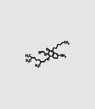 CCCCCCn1c(=O)c(OC=O)c(OCC=C(C)CCC=C(C)C)c2ccc(N)cc21